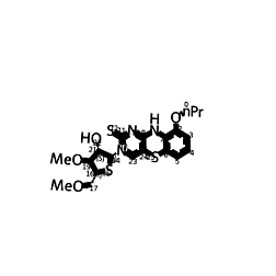 CCCOc1cccc2c1Nc1nc(=S)n([C@@H]3S[C@H](COC)C(OC)[C@@H]3O)cc1S2